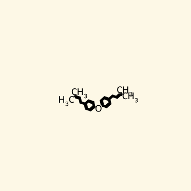 CC(C)=CCc1ccc(Oc2ccc(CC=C(C)C)cc2)cc1